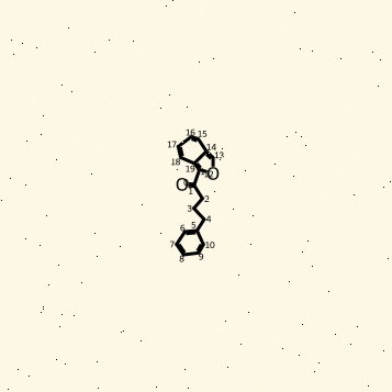 O=C(CCCc1ccccc1)c1occ2ccccc12